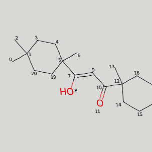 CC1(C)CCC(C)(/C(O)=C/C(=O)C2(C)CCCCC2)CC1